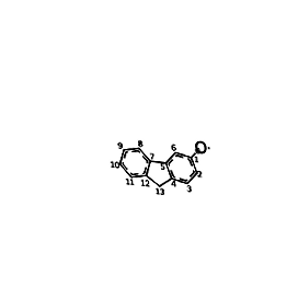 [O]c1ccc2c(c1)-c1ccccc1C2